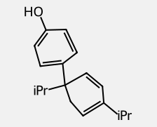 CC(C)C1=CCC(c2ccc(O)cc2)(C(C)C)C=C1